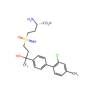 Cc1ccc(-c2ccc(C(O)(CCS(=N)(=O)CC[C@H](N)C(=O)O)C(F)(F)F)cc2)c(Cl)c1